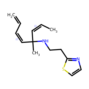 C=C/C=C\C(C)(/C=C\C)NCCc1nccs1